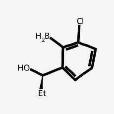 Bc1c(Cl)cccc1[C@H](O)CC